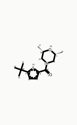 C[C@@H]1CN(C(=O)c2ccc(C(C)(C)C)s2)C[C@H](C)O1